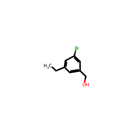 CCc1cc(Br)cc([CH]O)c1